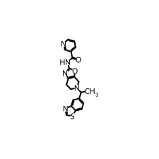 CC(c1ccc2scnc2c1)N1CCc2nc(NC(=O)c3cccnc3)oc2C1